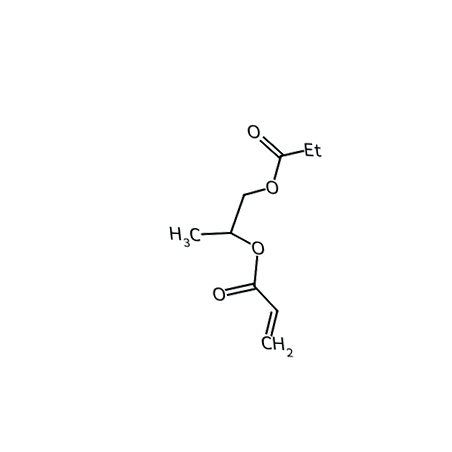 C=CC(=O)OC(C)COC(=O)CC